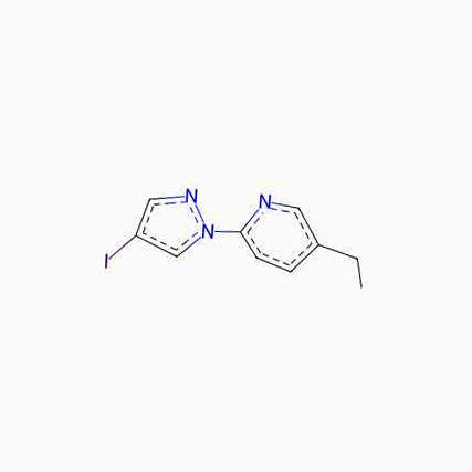 CCc1ccc(-n2cc(I)cn2)nc1